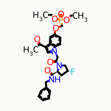 CCOP(=O)(COc1ccc2c(c1)c(C(C)=O)cn2CC(=O)N1C[C@H](F)C[C@H]1C(=O)NCc1ccccc1)OCC